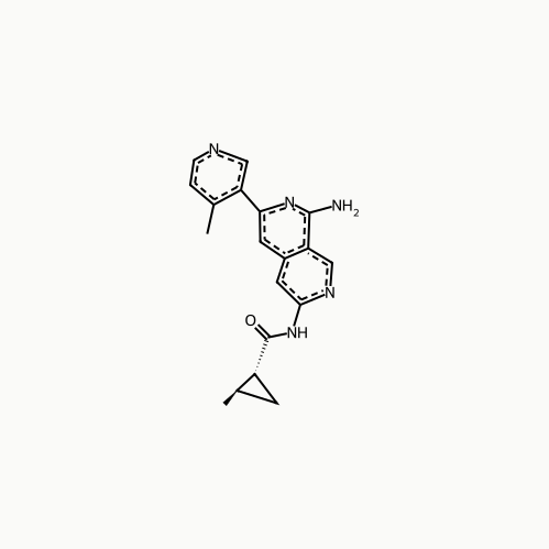 Cc1ccncc1-c1cc2cc(NC(=O)[C@@H]3C[C@H]3C)ncc2c(N)n1